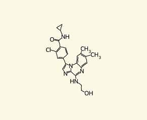 Cc1cc2nc(NCCO)c3ncc(-c4ccc(C(=O)NC5CC5)c(Cl)c4)n3c2cc1C